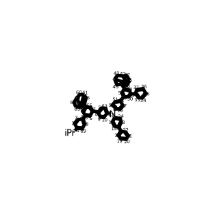 CC(C)c1ccc(-c2cc(-c3ccc(N(c4ccc(-c5ccccc5)cc4)c4ccc(-c5cc(-c6ccccc6)cc(C67CC8CC(CC(C8)C6)C7)c5)cc4)cc3)cc(C34CC5CC(CC(C5)C3)C4)c2)cc1